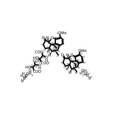 COc1ccc2c3c1O[C@H]1C(=O)CC[C@H]4[C@@H](C2)N(C)CC[C@]314.COc1ccc2c3c1O[C@H]1C(=O)CC[C@H]4[C@@H](C2)N(C)CC[C@]314.O.O.O.O.O.O=C([O-])C(O)C(O)C(=O)[O-].O=C([O-])C(O)C(O)C(=O)[O-].[H+].[H+].[H+].[H+]